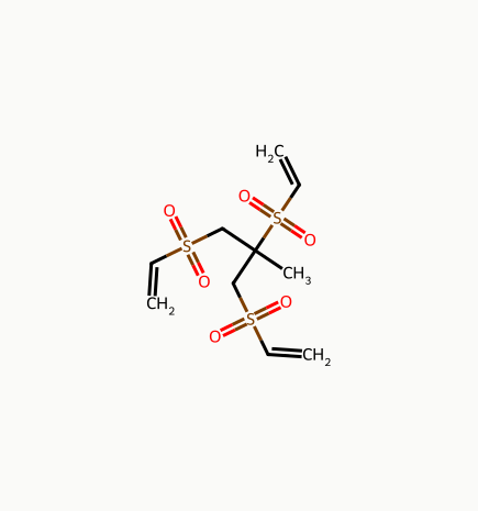 C=CS(=O)(=O)CC(C)(CS(=O)(=O)C=C)S(=O)(=O)C=C